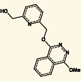 COc1nnc(OCc2cccc(CO)n2)c2ccccc12